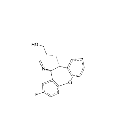 C=N[C@@H]1c2cc(F)ccc2Oc2ccccc2[C@H]1CCCO